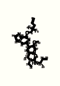 C=CCC(F)(F)COc1nc(-c2cc([C@@H](C)N(CC)C(=O)N[C@@H](C)C=C)ncc2OC)cn2ccnc12